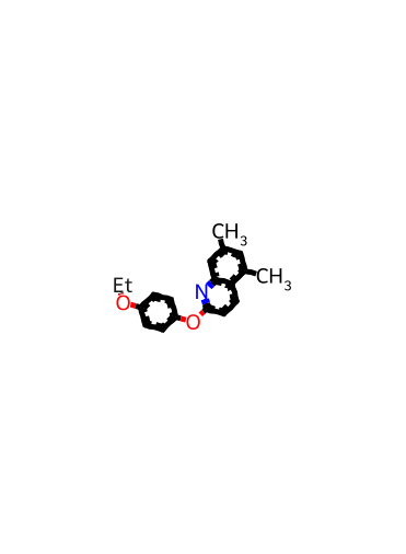 CCOc1ccc(Oc2ccc3c(C)cc(C)cc3n2)cc1